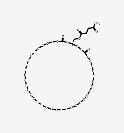 CC(=O)CCC(=O)OC[C@H]1COC(=O)CCCCCCCCCCCCCCCCCCCCCCCCCCCCCCCCCCCCC(=O)O1